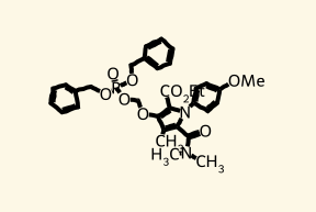 CCOC(=O)c1c(OCOP(=O)(OCc2ccccc2)OCc2ccccc2)c(C)c(C(=O)N(C)C)n1-c1ccc(OC)cc1